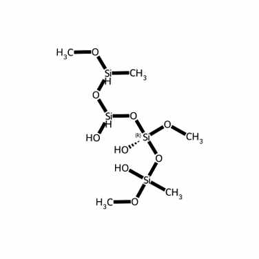 CO[SiH](C)O[SiH](O)O[Si@@](O)(OC)O[Si](C)(O)OC